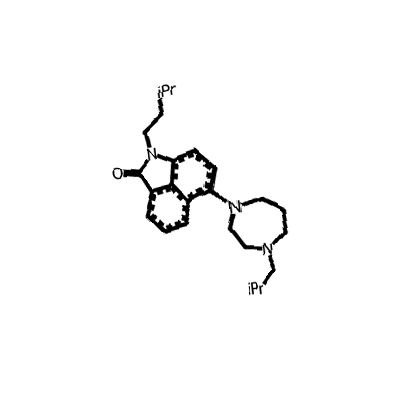 CC(C)CCN1C(=O)c2cccc3c(N4CCCN(CC(C)C)CC4)ccc1c23